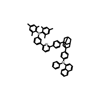 Cc1cc(C)c(B(c2cccc(-c3cccc(-c4ccc(C56CC7CC(C5)CC(c5ccc(N(c8ccccc8)c8cccc9ccccc89)cc5)(C7)C6)cc4)n3)c2)c2c(C)cc(C)cc2C)c(C)c1